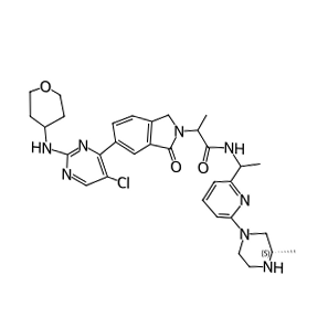 CC(NC(=O)C(C)N1Cc2ccc(-c3nc(NC4CCOCC4)ncc3Cl)cc2C1=O)c1cccc(N2CCN[C@@H](C)C2)n1